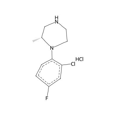 C[C@@H]1CNCCN1c1ccc(F)cc1Cl.Cl